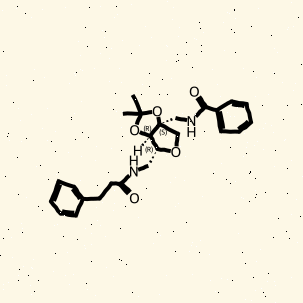 CC1(C)O[C@@H]2[C@@H](CNC(=O)CCc3ccccc3)OC[C@]2(CNC(=O)c2ccccc2)O1